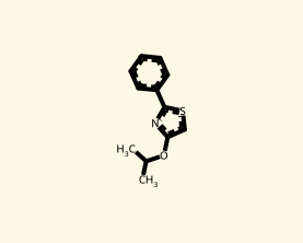 CC(C)Oc1csc(-c2cc[c]cc2)n1